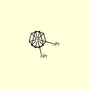 CCC[C]12[CH]3[CH]4[CH]5[C]1(CCC)[Fe]43521678[CH]2[CH]1[CH]6[CH]7[CH]28